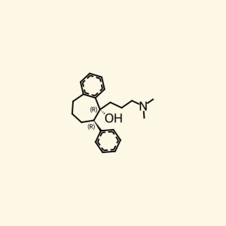 CN(C)CCC[C@]1(O)c2ccccc2CCC[C@@H]1c1ccccc1